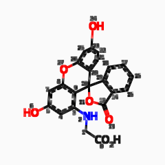 O=C(O)CNc1cc(O)cc2c1C1(OC(=O)c3ccccc31)c1ccc(O)cc1O2